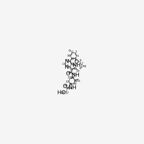 Cc1ccc(OCC2CC2)c(-c2ncnc3c(C(=O)N[C@@H]4CC[C@@H](NC(=O)CO)C[C@@H]4C)c(C)[nH]c23)c1